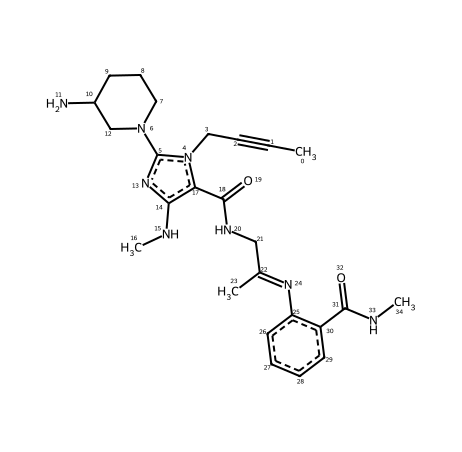 CC#CCn1c(N2CCCC(N)C2)nc(NC)c1C(=O)NC/C(C)=N/c1ccccc1C(=O)NC